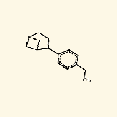 CCc1ccc(C2CCN3CC2C3)cc1